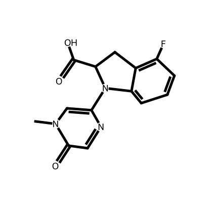 Cn1cc(N2c3cccc(F)c3CC2C(=O)O)ncc1=O